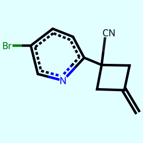 C=C1CC(C#N)(c2ccc(Br)cn2)C1